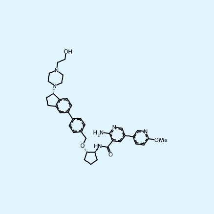 COc1ccc(-c2cnc(N)c(C(=O)N[C@H]3CCC[C@@H]3OCc3ccc(-c4ccc5c(c4)CC[C@@H]5N4CCN(CCO)CC4)cc3)c2)cn1